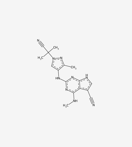 CNc1nc(Nc2cn(C(C)(C)C#N)nc2C)nc2[nH]cc(C#N)c12